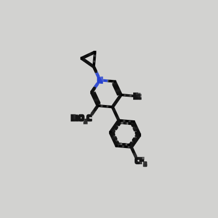 CCOC(=O)C1=CN(C2CC2)C=C(CC)C1c1ccc(C(F)(F)F)cc1